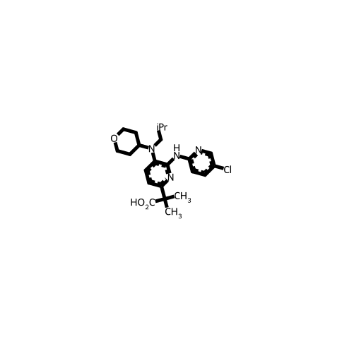 CC(C)CN(c1ccc(C(C)(C)C(=O)O)nc1Nc1ccc(Cl)cn1)C1CCOCC1